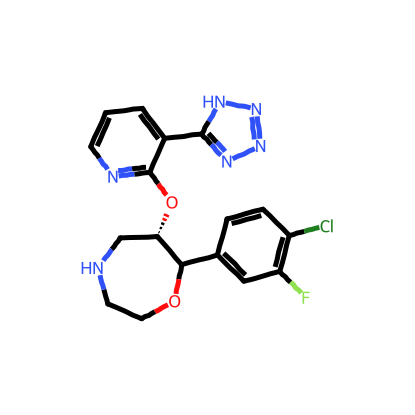 Fc1cc(C2OCCNC[C@@H]2Oc2ncccc2-c2nnn[nH]2)ccc1Cl